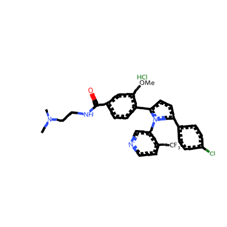 COc1cc(C(=O)NCCN(C)C)ccc1-c1ccc(-c2ccc(Cl)cc2)n1-c1cnccc1C(F)(F)F.Cl